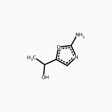 CC(O)c1cnc(N)o1